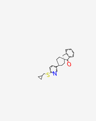 O=C1c2ccccc2C[C@]12CC[C@H](c1ccc(SCC3CC3)nc1)CC2